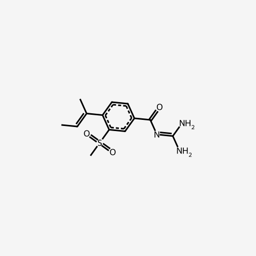 CC=C(C)c1ccc(C(=O)N=C(N)N)cc1S(C)(=O)=O